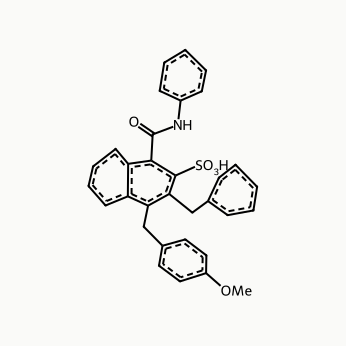 COc1ccc(Cc2c(Cc3ccccc3)c(S(=O)(=O)O)c(C(=O)Nc3ccccc3)c3ccccc23)cc1